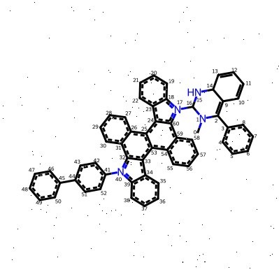 CN1C(c2ccccc2)=C2C=CC=CC2NC1n1c2ccccc2c2c3c4ccccc4c4c(c5ccccc5n4-c4ccc(-c5ccccc5)cc4)c3c3ccccc3c21